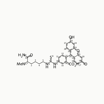 CNC(CCCCNC(=S)Nc1ccc(-c2c3ccc(=O)cc-3oc3cc(O)ccc23)c(C(=O)O)c1)C(N)=O